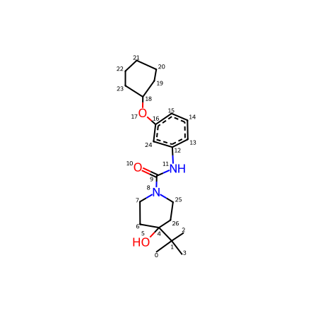 CC(C)(C)C1(O)CCN(C(=O)Nc2cccc(OC3CCCCC3)c2)CC1